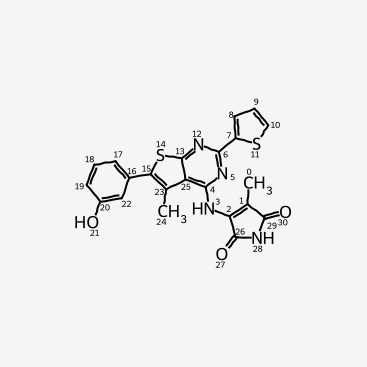 CC1=C(Nc2nc(-c3cccs3)nc3sc(-c4cccc(O)c4)c(C)c23)C(=O)NC1=O